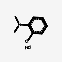 CN(C)c1ccccc1Cl.Cl